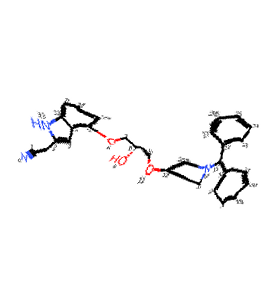 N#Cc1cc2c(OC[C@@H](O)COC3CN(C(c4ccccc4)c4ccccc4)C3)cccc2[nH]1